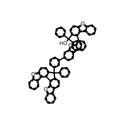 OC(c1ccccc1)(c1ccccc1)c1ccc2oc3ccccc3c2c1-c1cccc2c1oc1cc(-c3cccc(C4(c5ccccc5)c5ccc6c(oc7ccccc76)c5-c5c4ccc4oc6ccccc6c54)c3)ccc12